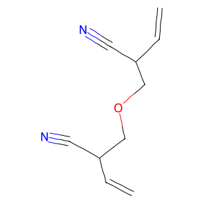 C=CC(C#N)COCC(C#N)C=C